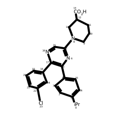 CC(C)c1ccc(-c2nc(N3CCCC(C(=O)O)C3)cnc2-c2cccc(Cl)c2)cc1